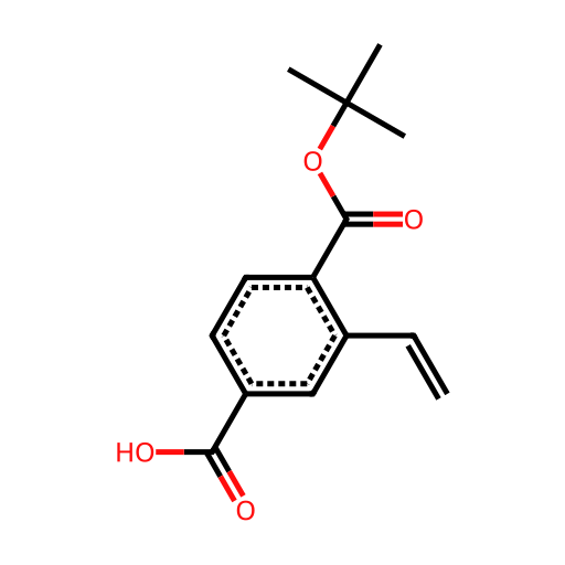 C=Cc1cc(C(=O)O)ccc1C(=O)OC(C)(C)C